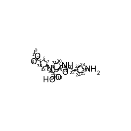 CCOC(=O)c1ccc(-n2cc(C(=O)O)c3cc(NC(=O)CCc4ccc(N)cc4)ccc32)cc1